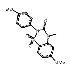 COc1ccc2c(c1)N(C)C(=O)N(c1ccc(SC)cc1)S2(=O)=O